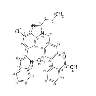 CCCc1nc2c(Cl)cc(-c3nc4ccccc4n3C)cc2n1Cc1ccc(-c2ccccc2C(=O)O)cc1